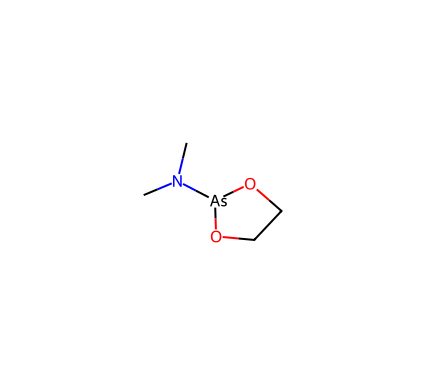 CN(C)[As]1OCCO1